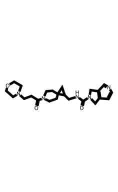 O=C(CCN1CCOCC1)N1CCC2(CC1)CC2CNC(=O)N1Cc2ccncc2C1